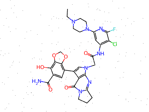 CCN1CCN(c2cc(NC(=O)Cn3cc(-c4cc(C(N)=O)c(O)c5c4OCO5)c4c(=O)n5c(nc43)CCC5)c(Cl)c(F)n2)CC1